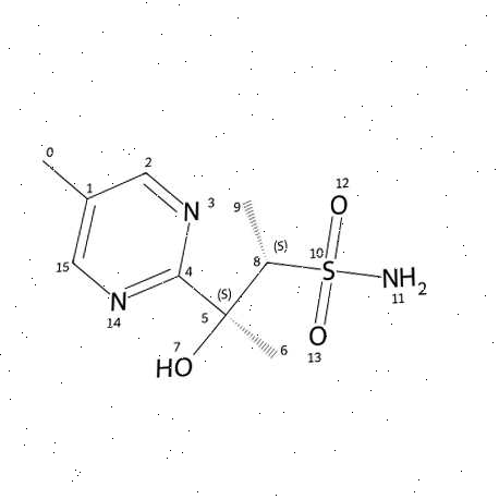 Cc1cnc([C@](C)(O)[C@H](C)S(N)(=O)=O)nc1